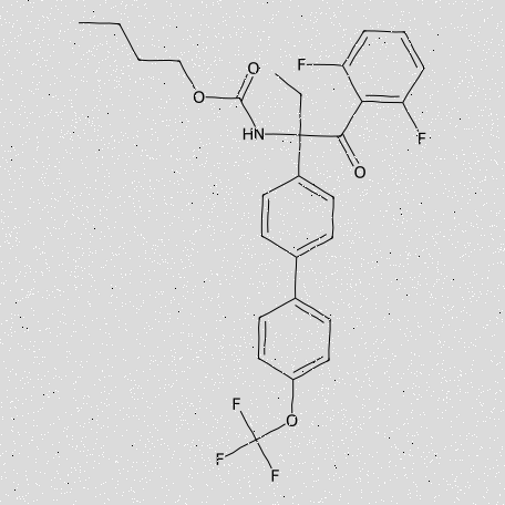 CCCCOC(=O)NC(CC)(C(=O)c1c(F)cccc1F)c1ccc(-c2ccc(OC(F)(F)F)cc2)cc1